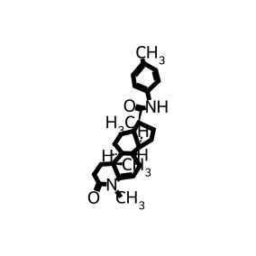 Cc1ccc(NC(=O)[C@H]2CC[C@H]3[C@@H]4CC=C5N(C)C(=O)CC[C@]5(C)[C@H]4CC[C@]23C)cc1